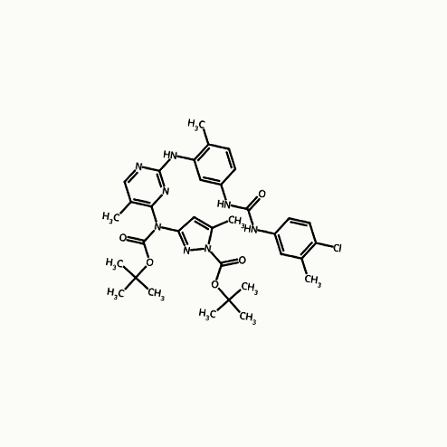 Cc1cc(NC(=O)Nc2ccc(C)c(Nc3ncc(C)c(N(C(=O)OC(C)(C)C)c4cc(C)n(C(=O)OC(C)(C)C)n4)n3)c2)ccc1Cl